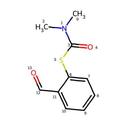 CN(C)C(=O)Sc1ccccc1C=O